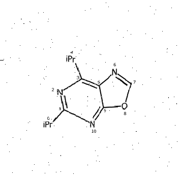 CC(C)c1nc(C(C)C)c2ncoc2n1